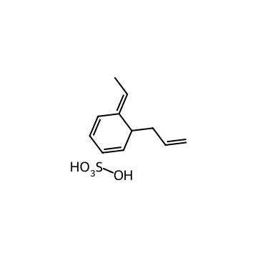 C=CCC1C=CC=CC1=CC.O=S(=O)(O)O